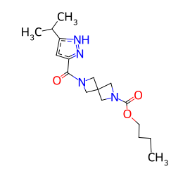 CCCCOC(=O)N1CC2(C1)CN(C(=O)c1cc(C(C)C)[nH]n1)C2